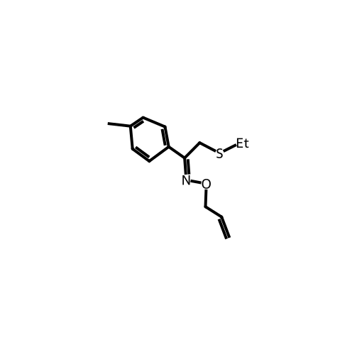 C=CCO/N=C(\CSCC)c1ccc(C)cc1